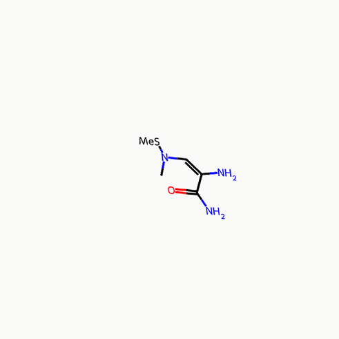 CSN(C)/C=C(/N)C(N)=O